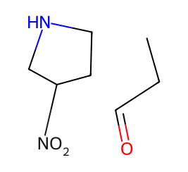 CCC=O.O=[N+]([O-])C1CCNC1